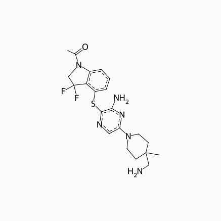 CC(=O)N1CC(F)(F)c2c(Sc3ncc(N4CCC(C)(CN)CC4)nc3N)cccc21